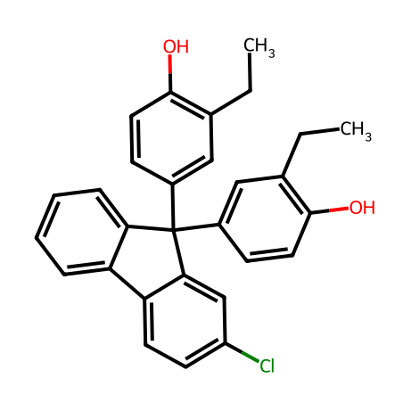 CCc1cc(C2(c3ccc(O)c(CC)c3)c3ccccc3-c3ccc(Cl)cc32)ccc1O